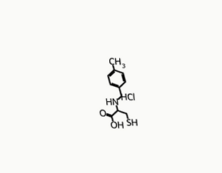 Cc1ccc(CNC(CS)C(=O)O)cc1.Cl